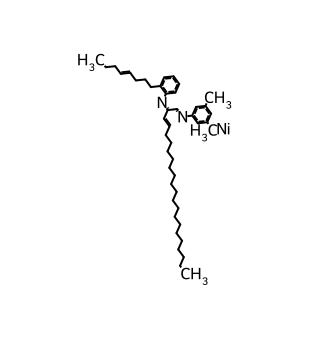 CCC/C=C/CCCc1ccccc1/N=C(/C=C/CCCCCCCCCCCCCCCCCC)\C=N\c1cc(C)cc(C)c1.[Ni]